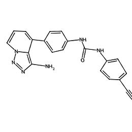 N#Cc1ccc(NC(=O)Nc2ccc(-c3cccn4nnc(N)c34)cc2)cc1